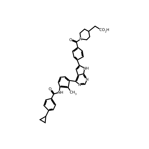 Cc1c(NC(=O)c2ccc(C3CC3)cc2)cccc1-c1ncnc2[nH]c(-c3ccc(C(=O)N4CCC(CC(=O)O)CC4)cc3)cc12